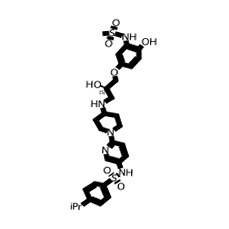 CC(C)c1ccc(S(=O)(=O)Nc2ccc(N3CCC(NC[C@H](O)COc4ccc(O)c(NS(C)(=O)=O)c4)CC3)nc2)cc1